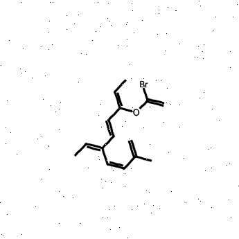 C=C(C)\C=C/C(/C=C/C(=C/C)OC(=C)Br)=C\C